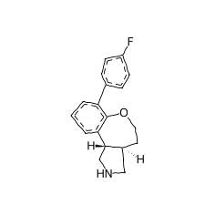 Fc1ccc(-c2cccc3c2OCC[C@H]2CNC[C@H]32)cc1